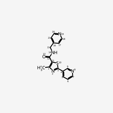 Cc1nc(-c2cccnc2)sc1C(=O)NCc1ccncc1